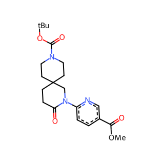 COC(=O)c1ccc(N2CC3(CCC2=O)CCN(C(=O)OC(C)(C)C)CC3)nc1